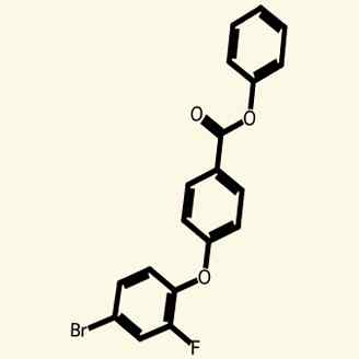 O=C(Oc1ccccc1)c1ccc(Oc2ccc(Br)cc2F)cc1